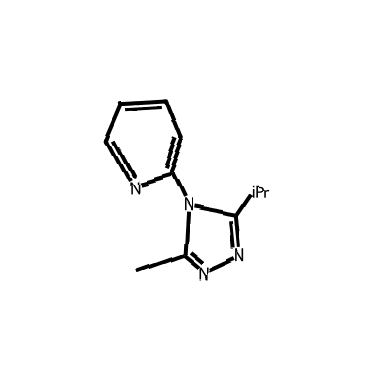 Cc1nnc(C(C)C)n1-c1ccccn1